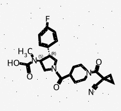 CN(C(=O)O)[C@@H]1CN(C(=O)C2CCN(C(=O)C3(C#N)CC3)CC2)C[C@H]1c1ccc(F)cc1